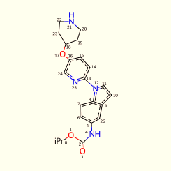 CC(C)OC(=O)Nc1ccc2c(ccn2-c2ccc(OC3CCNCC3)cn2)c1